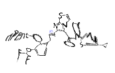 CCCCCOc1c(/C=C/c2nc3sccn3c2C(=O)Nc2nc(C3CC3)cs2)cccc1OC(F)F